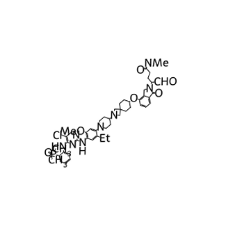 CCc1cc(Nc2ncc(Cl)c(Nc3ccccc3P(C)(C)=O)n2)c(OC)cc1N1CCC(N2CC3(CCC(Oc4cccc5c4CN(C(C=O)CCC(=O)NC)C5=O)CC3)C2)CC1